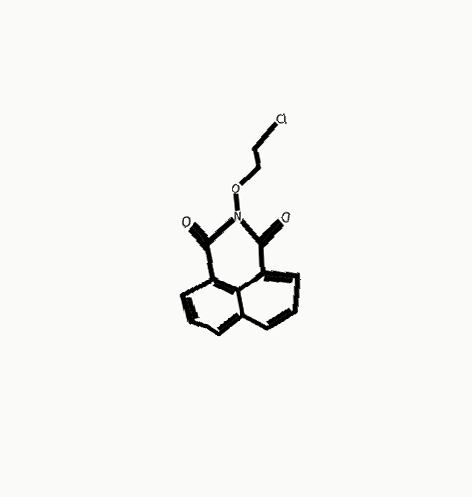 O=C1c2cccc3cccc(c23)C(=O)N1OCCCl